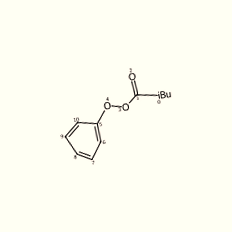 CCC(C)C(=O)OOc1ccccc1